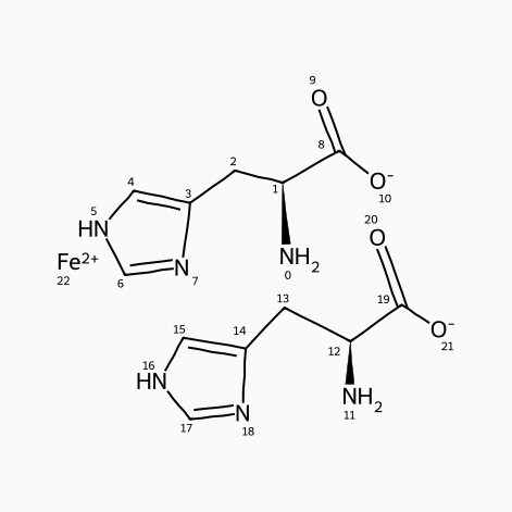 N[C@@H](Cc1c[nH]cn1)C(=O)[O-].N[C@@H](Cc1c[nH]cn1)C(=O)[O-].[Fe+2]